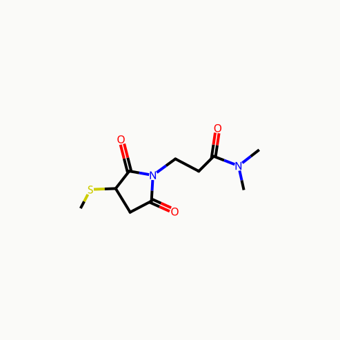 CSC1CC(=O)N(CCC(=O)N(C)C)C1=O